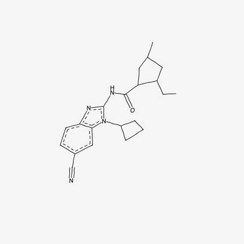 CCC1CC(C)CC1C(=O)Nc1nc2ccc(C#N)cc2n1C1CCC1